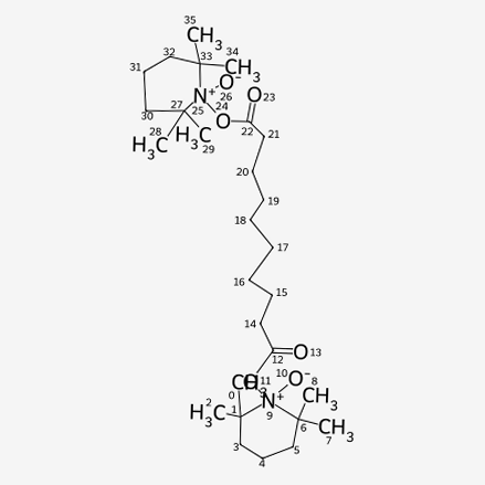 CC1(C)CCCC(C)(C)[N+]1([O-])OC(=O)CCCCCCCCC(=O)O[N+]1([O-])C(C)(C)CCCC1(C)C